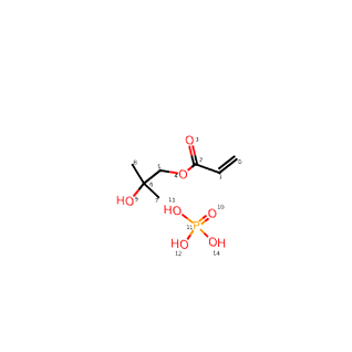 C=CC(=O)OCC(C)(C)O.O=P(O)(O)O